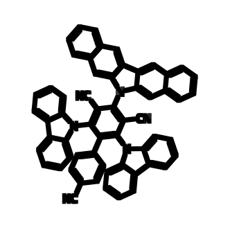 N#Cc1ccc(-c2c(-n3c4ccccc4c4ccccc43)c(C#N)c(-n3c4cc5ccccc5cc4c4cc5ccccc5cc43)c(C#N)c2-n2c3ccccc3c3ccccc32)cc1